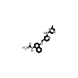 Cc1cncc(Nc2cc(COc3ccc(NC(N)=O)c4ccccc34)ccn2)n1